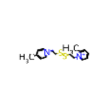 Cc1cc[n+](CCSSCC[n+]2ccccc2C)cc1